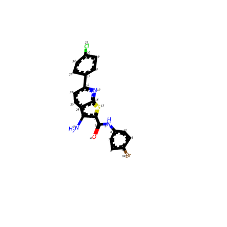 Nc1c(C(=O)Nc2ccc(Br)cc2)sc2nc(-c3ccc(Cl)cc3)ccc12